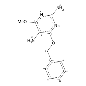 COc1nc(N)nc(OCc2ccccc2)c1N